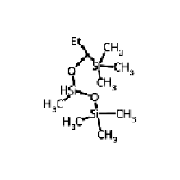 CCC(O[SiH](C)O[Si](C)(C)C)[Si](C)(C)C